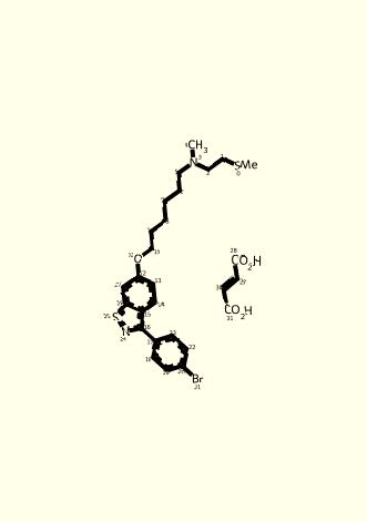 CSCCN(C)CCCCCCOc1ccc2c(-c3ccc(Br)cc3)nsc2c1.O=C(O)/C=C/C(=O)O